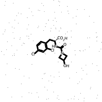 O=C(O)[C@@H](Cc1ccc(Cl)cc1Cl)NC(=O)N1CC(O)C1